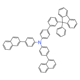 c1ccc(C2(c3cccc(-c4ccc(N(c5ccc(-c6ccc7ccccc7c6)cc5)c5ccc(-c6cccc7ccccc67)cc5)cc4)c3)c3ccccc3-c3ccccc32)cc1